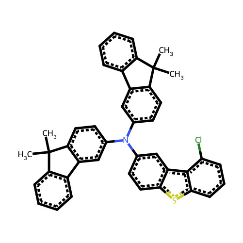 CC1(C)c2ccccc2-c2cc(N(c3ccc4c(c3)-c3ccccc3C4(C)C)c3ccc4sc5cccc(Cl)c5c4c3)ccc21